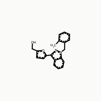 Cc1ccccc1Cn1nc(-c2ccc(CO)o2)c2ccccc21